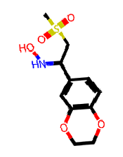 CS(=O)(=O)CC(NO)c1ccc2c(c1)OCCO2